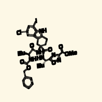 CCC(C)[C@H](NC(=O)OCc1ccccc1)C(=O)N[C@]1(C(=O)N[C@H](c2nc(C(=O)OC)no2)C(C)CC)CCc2[nH]c3c(I)cc(Cl)cc3c2C1